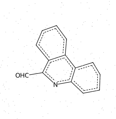 O=Cc1nc2ccccc2c2ccccc12